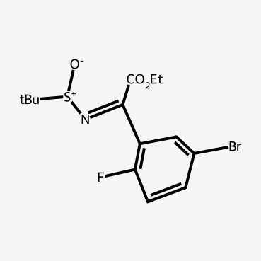 CCOC(=O)C(=N[S+]([O-])C(C)(C)C)c1cc(Br)ccc1F